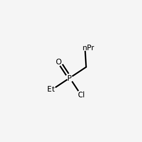 CCCCP(=O)(Cl)CC